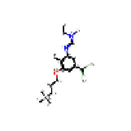 CCN(C)C=Nc1cc(C(F)F)cc(OCCC[Si](C)(C)C)c1C